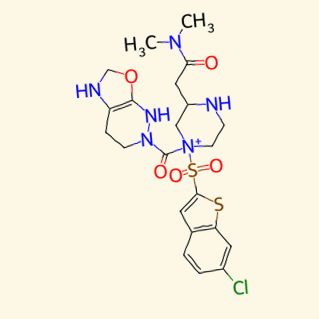 CN(C)C(=O)CC1C[N+](C(=O)N2CCC3=C(N2)OCN3)(S(=O)(=O)c2cc3ccc(Cl)cc3s2)CCN1